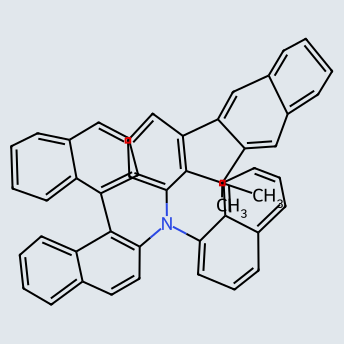 CC1(C)c2cc3ccccc3cc2-c2cccc(N(c3ccc4ccccc4c3-c3cccc4ccccc34)c3cccc4ccccc34)c21